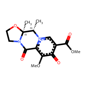 COC(=O)c1cn2c(c(OC)c1=O)C(=O)N1CCO[C@@]1(C)[C@@H]2C